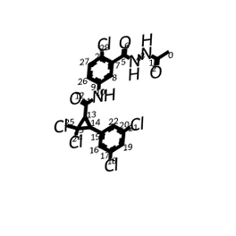 CC(=O)NNC(=O)c1cc(NC(=O)C2C(c3cc(Cl)cc(Cl)c3)C2(Cl)Cl)ccc1Cl